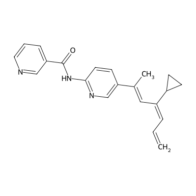 C=C/C=C(\C=C(/C)c1ccc(NC(=O)c2cccnc2)nc1)C1CC1